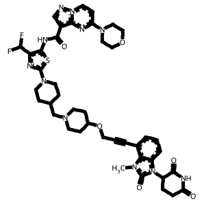 Cn1c(=O)n(C2CCC(=O)NC2=O)c2cccc(C#CCOC3CCN(CC4CCN(c5nc(C(F)F)c(NC(=O)c6cnn7ccc(N8CCOCC8)nc67)s5)CC4)CC3)c21